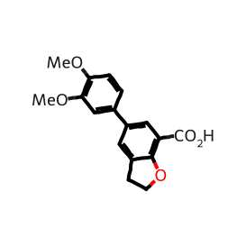 COc1ccc(-c2cc3c(c(C(=O)O)c2)OCC3)cc1OC